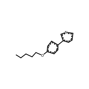 CCCCCOc1ccc(-c2cccnc2)cc1